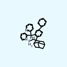 PCC1(c2ccc(-c3ccccc3)cc2C(P)(c2ccccn2)c2ccccn2)C2CC3CC(C2)CC1C3